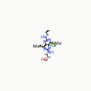 C=CCNc1nc(NC)c2nc(NCCO)nc(NC)c2n1.Cl